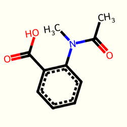 CC(=O)N(C)c1ccccc1C(=O)O